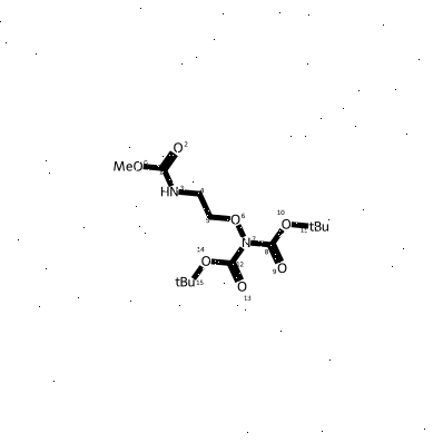 COC(=O)NCCON(C(=O)OC(C)(C)C)C(=O)OC(C)(C)C